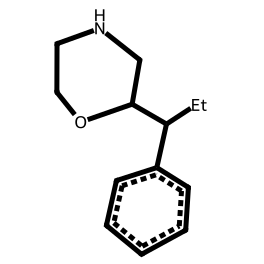 CCC(c1ccccc1)C1CNCCO1